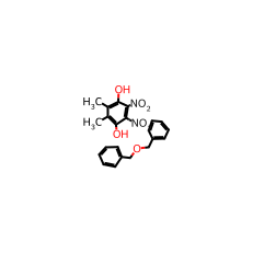 Cc1c(C)c(O)c([N+](=O)[O-])c([N+](=O)[O-])c1O.c1ccc(COCc2ccccc2)cc1